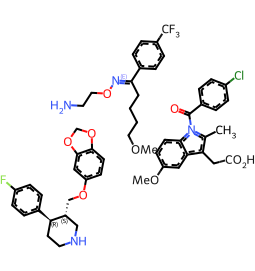 COCCCC/C(=N\OCCN)c1ccc(C(F)(F)F)cc1.COc1ccc2c(c1)c(CC(=O)O)c(C)n2C(=O)c1ccc(Cl)cc1.Fc1ccc([C@@H]2CCNC[C@H]2COc2ccc3c(c2)OCO3)cc1